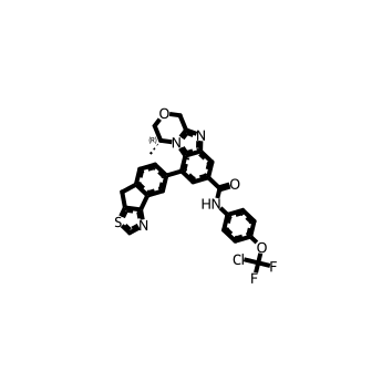 C[C@@H]1COCc2nc3cc(C(=O)Nc4ccc(OC(F)(F)Cl)cc4)cc(-c4ccc5c(c4)-c4ncsc4C5)c3n21